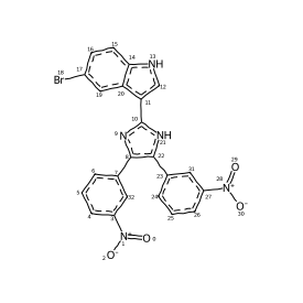 O=[N+]([O-])c1cccc(-c2nc(-c3c[nH]c4ccc(Br)cc34)[nH]c2-c2cccc([N+](=O)[O-])c2)c1